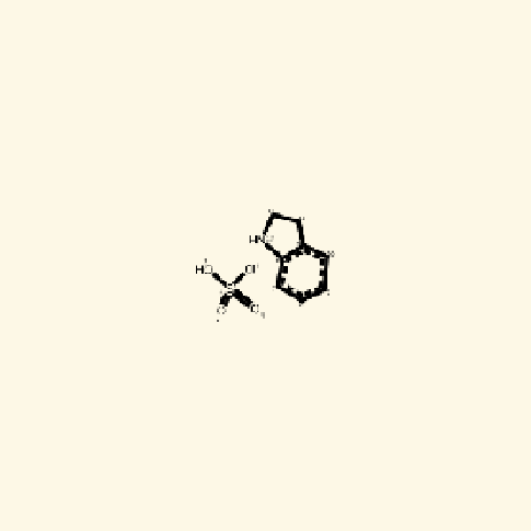 O=S(=O)(O)Cl.c1ccc2c(c1)CCN2